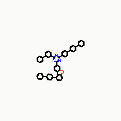 c1ccc(-c2ccc(-c3ccc(-c4nc(-c5cccc(-c6ccccc6)c5)nc(-c5ccc6c(c5)oc5cccc(-c7ccc(-c8ccccc8)cc7)c56)n4)cc3)cc2)cc1